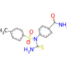 Cc1ccc(S(=O)(=O)N(C(N)=S)c2ccc(C(N)=O)cc2)cc1